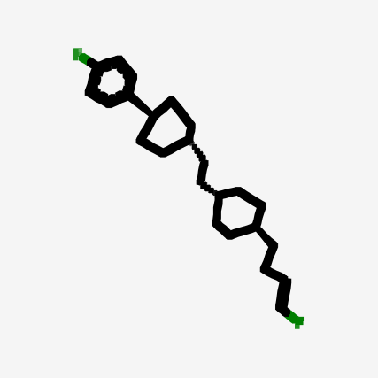 FC=CCC[C@H]1CC[C@H](CC[C@H]2CC[C@H](c3ccc(F)cc3)CC2)CC1